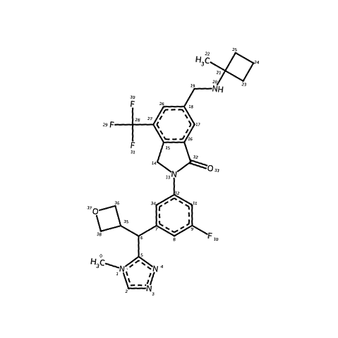 Cn1cnnc1C(c1cc(F)cc(N2Cc3c(cc(CNC4(C)CCC4)cc3C(F)(F)F)C2=O)c1)C1COC1